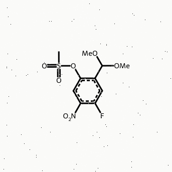 COC(OC)c1cc(F)c([N+](=O)[O-])cc1OS(C)(=O)=O